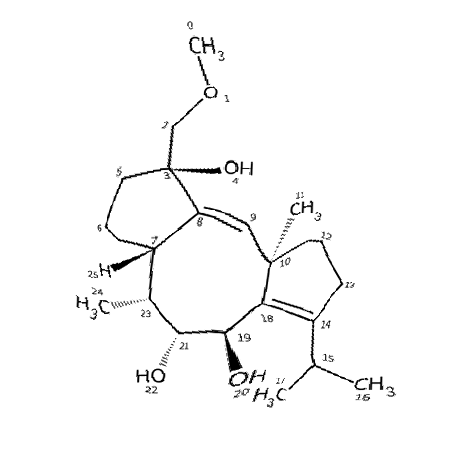 COC[C@@]1(O)CC[C@@H]2/C1=C\[C@@]1(C)CCC(C(C)C)=C1[C@@H](O)[C@H](O)[C@@H]2C